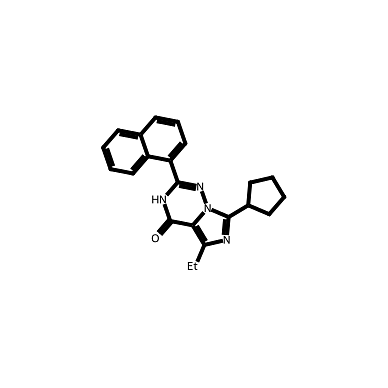 CCc1nc(C2CCCC2)n2nc(-c3cccc4ccccc34)[nH]c(=O)c12